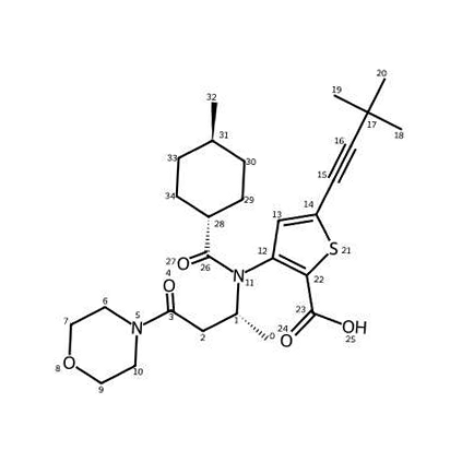 C[C@H](CC(=O)N1CCOCC1)N(c1cc(C#CC(C)(C)C)sc1C(=O)O)C(=O)[C@H]1CC[C@H](C)CC1